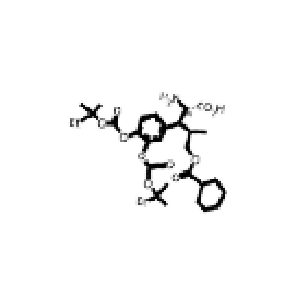 CCC(C)(C)OC(=O)Oc1ccc(C(C(C)COC(=O)C2CCCCC2)[C@H](N)C(=O)O)cc1OC(=O)OC(C)(C)CC